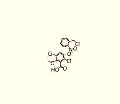 COc1c(Cl)ccc(Cl)c1C(=O)O.O=[N+]([O-])c1ccccc1CCl